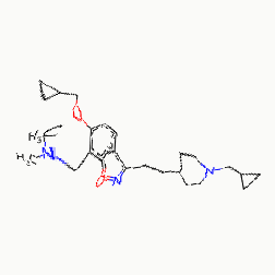 CN(C)Cc1c(OCC2CC2)ccc2c(CCC3CCN(CC4CC4)CC3)noc12